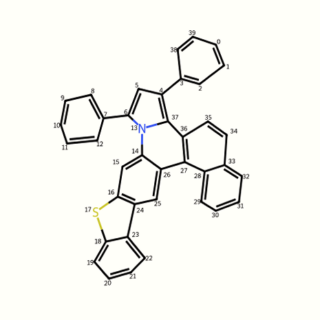 c1ccc(-c2cc(-c3ccccc3)n3c4cc5sc6ccccc6c5cc4c4c5ccccc5ccc4c23)cc1